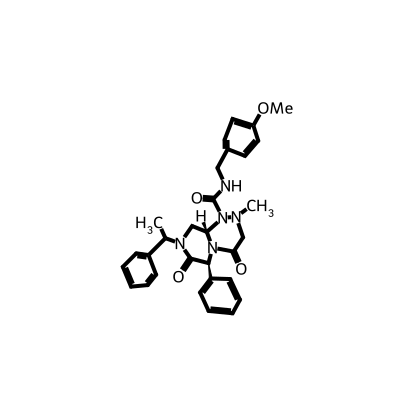 COc1ccc(CNC(=O)N2[C@H]3CN(C(C)c4ccccc4)C(=O)[C@H](c4ccccc4)N3C(=O)CN2C)cc1